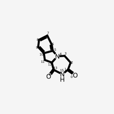 O=C1CCN2c3ccccc3CC2C(=O)N1